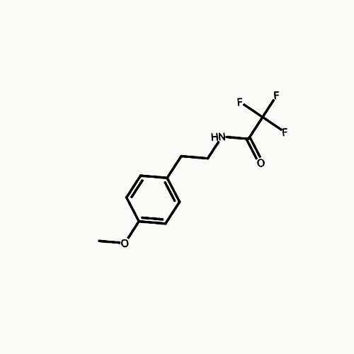 COc1ccc(CCNC(=O)C(F)(F)F)cc1